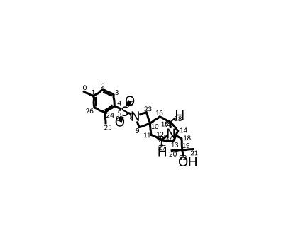 Cc1ccc(S(=O)(=O)N2CC3(C[C@H]4CC[C@@H](C3)N4CC(C)(C)O)C2)c(C)c1